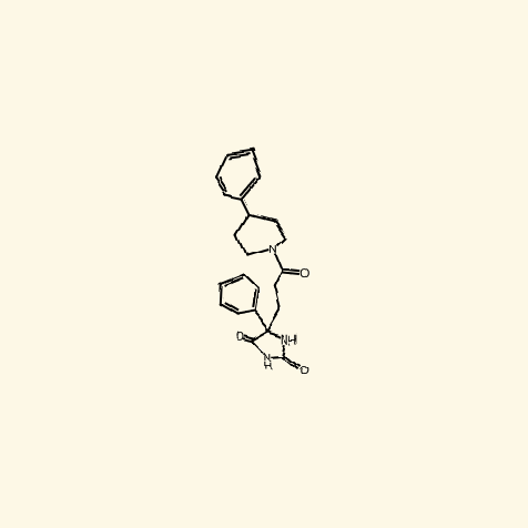 O=C1NC(=O)C(CCC(=O)N2CCC(c3ccccc3)CC2)(c2ccccc2)N1